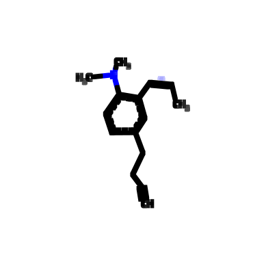 C#CCCc1ccc(N(C)C)c(/C=C\C)c1